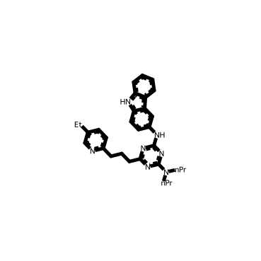 CCCN(CCC)c1nc(CCCc2ccc(CC)cn2)nc(Nc2ccc3[nH]c4ccccc4c3c2)n1